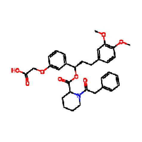 COc1ccc(CC[C@@H](OC(=O)C2CCCCN2C(=O)Cc2ccccc2)c2cccc(OCC(=O)O)c2)cc1OC